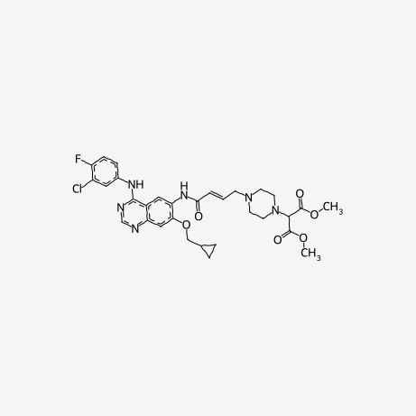 COC(=O)C(C(=O)OC)N1CCN(C/C=C/C(=O)Nc2cc3c(Nc4ccc(F)c(Cl)c4)ncnc3cc2OCC2CC2)CC1